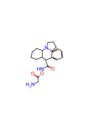 NCC(=O)ONC(=O)C(c1ccccc1)C1CCCCC1N1CCCC1